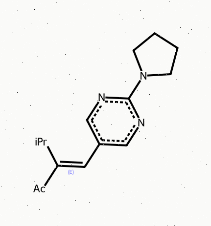 CC(=O)/C(=C/c1cnc(N2CCCC2)nc1)C(C)C